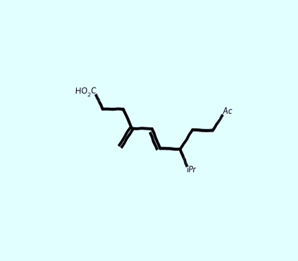 C=C(/C=C/C(CCC(C)=O)C(C)C)CCC(=O)O